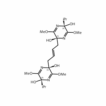 COC1=N[C@@](O)(C(C)C)C(OC)=N[C@]1(O)CC=CC[C@@]1(O)N=C(OC)[C@](O)(C(C)C)N=C1OC